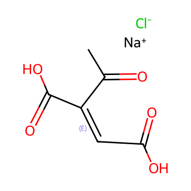 CC(=O)/C(=C\C(=O)O)C(=O)O.[Cl-].[Na+]